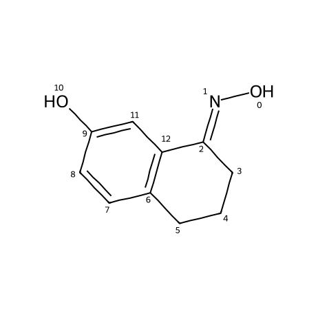 O/N=C1\CCCc2ccc(O)cc21